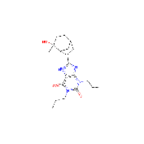 CCCn1c(=O)c2[nH]c(C3CC4CCC(C)(O)C3C4)nc2n(CCC)c1=O